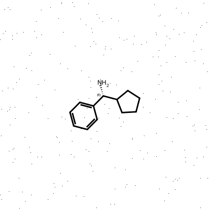 N[C@@H](c1ccccc1)C1CCCC1